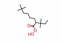 CCC(C)(C)C(CCCCC(C)(C)C)C(=O)OO